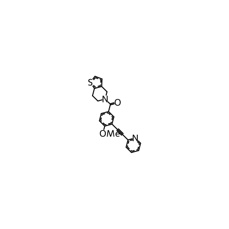 COc1ccc(C(=O)N2CCc3sccc3C2)cc1C#Cc1ccccn1